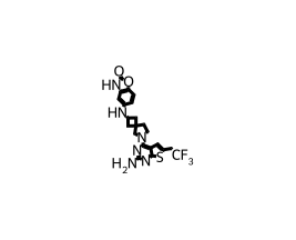 Nc1nc(N2CCC3(CC(Nc4ccc5oc(=O)[nH]c5c4)C3)C2)c2cc(CC(F)(F)F)sc2n1